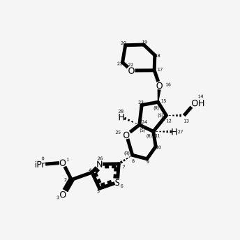 CC(C)OC(=O)c1csc([C@H]2CC[C@@H]3[C@@H](CO)[C@H](OC4CCCCO4)C[C@@H]3O2)n1